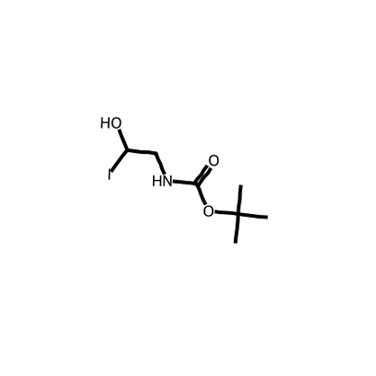 CC(C)(C)OC(=O)NCC(O)I